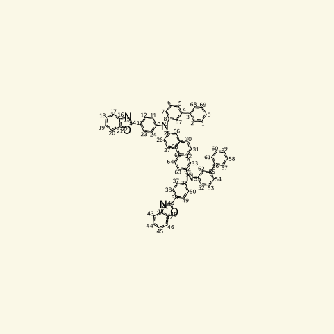 c1ccc(-c2cccc(N(c3ccc(-c4nc5ccccc5o4)cc3)c3ccc4c(ccc5cc(N(c6ccc(-c7nc8ccccc8o7)cc6)c6cccc(-c7ccccc7)c6)ccc54)c3)c2)cc1